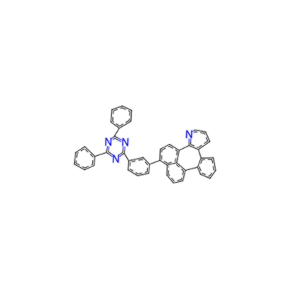 c1ccc(-c2nc(-c3ccccc3)nc(-c3cccc(-c4ccc5c6c(cccc46)-c4ccccc4-c4cccnc4-5)c3)n2)cc1